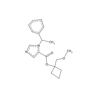 COCC1(OC(=O)c2cncn2C(C)c2ccccc2)CCC1